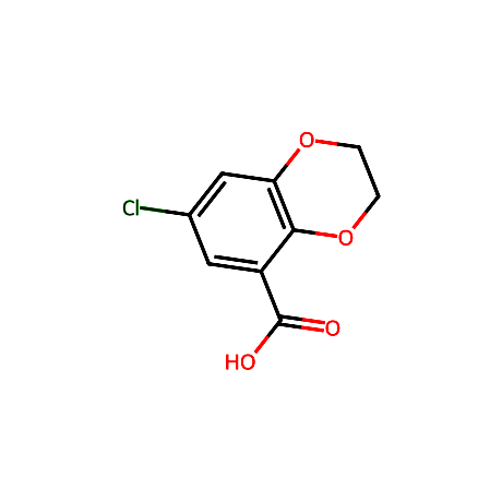 O=C(O)c1cc(Cl)cc2c1OCCO2